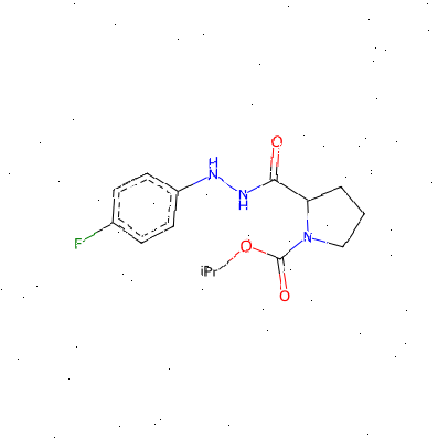 CC(C)OC(=O)N1CCCC1C(=O)NNc1ccc(F)cc1